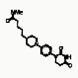 CNC(=O)CCCCC1CCN(c2ccc(N3CCC(=O)NC3=O)cc2)CC1